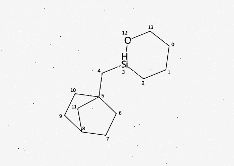 C1CC[SiH](CC23CCC(CC2)C3)OC1